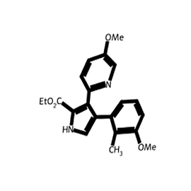 CCOC(=O)c1[nH]cc(-c2cccc(OC)c2C)c1-c1ccc(OC)cn1